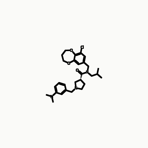 CC(C)CN(Cc1cc(Cl)c2c(c1)OCCCO2)C(=O)[C@@H]1CCN(Cc2cccc(N(C)C)c2)C1